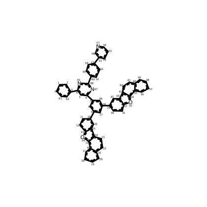 c1ccc(-c2cc(-c3cc(-c4ccc5oc6c7ccccc7ccc6c5c4)cc(-c4ccc5oc6c7ccccc7ccc6c5c4)c3)nc(-c3ccc(-c4cccnc4)cc3)n2)cc1